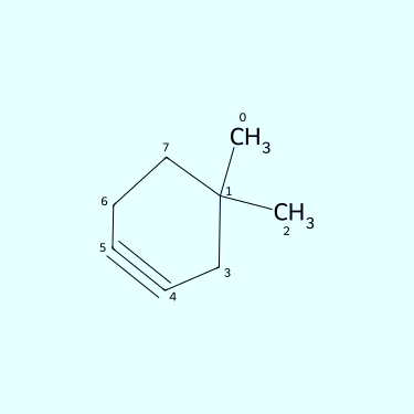 CC1(C)CC#CCC1